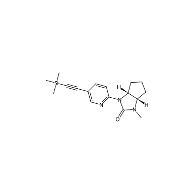 CN1C(=O)N(c2ccc(C#C[Si](C)(C)C)cn2)[C@@H]2CCC[C@@H]21